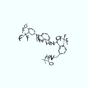 COc1ccc(-n2ncc3c(NC(=O)c4cc(CNC(=O)C(C)(C)C)ccc4C(F)(F)F)cccc32)cc1C(F)(F)F